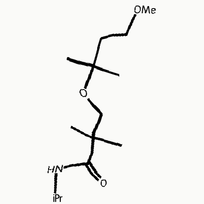 COCCC(C)(C)OCC(C)(C)C(=O)NC(C)C